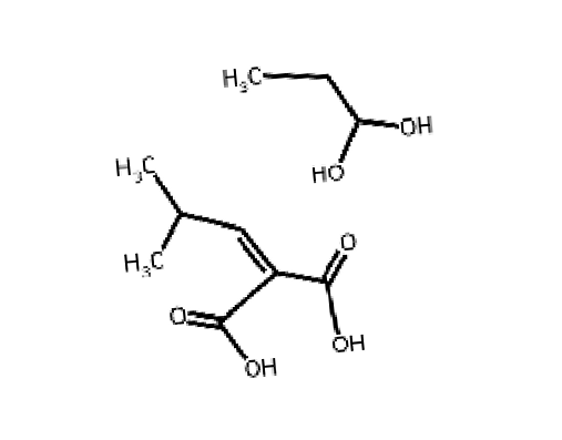 CC(C)C=C(C(=O)O)C(=O)O.CCC(O)O